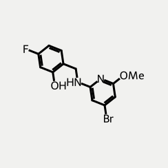 COc1cc(Br)cc(NCc2ccc(F)cc2O)n1